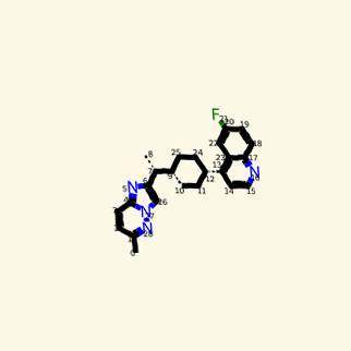 Cc1ccc2nc([C@H](C)[C@H]3CC[C@@H](c4ccnc5ccc(F)cc54)CC3)cn2n1